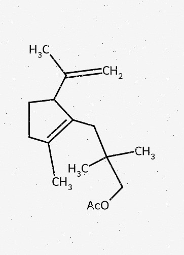 C=C(C)C1CCC(C)=C1CC(C)(C)COC(C)=O